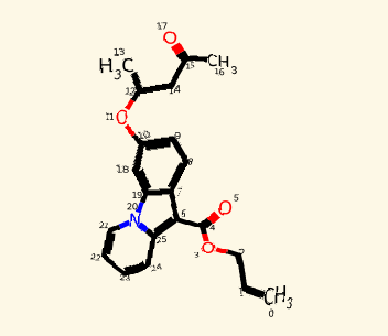 CCCOC(=O)c1c2ccc(OC(C)CC(C)=O)cc2n2ccccc12